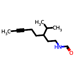 CC#CCCC(CCNC=O)C(C)C